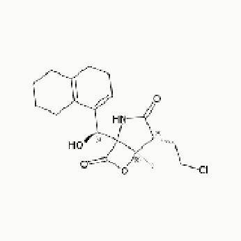 C[C@]12OC(=O)C1([C@@H](O)C1=CCCC3=C1CCCC3)NC(=O)[C@@H]2CCCl